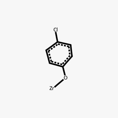 Clc1ccc([O][Zr])cc1